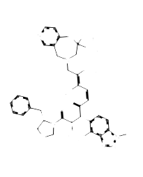 C=C(/C=C\C(C)=C(/C)CN1Cc2cnccc2OC(C)(C)C1)[C@@H](c1ccc2c(nnn2CC)c1C)[C@@H](C)C(=O)N1COC[C@H]1Cc1ccccc1